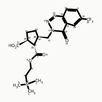 CS(C)(C)CCOC(=O)[C@H]1[C@H](Cn2nnc3ccc(C(F)(F)F)cc3c2=O)CC[C@@H]1C(=O)O